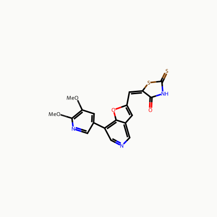 COc1cc(-c2cncc3cc(/C=C4/SC(=S)NC4=O)oc23)cnc1OC